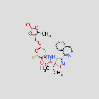 Cc1oc(=O)oc1COC(=O)C[C@H](NC(=O)C1(C(C)C)CC(c2nccc3ccccc23)=NO1)C(=O)CF